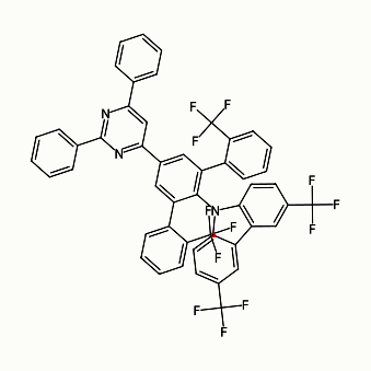 FC(F)(F)c1ccc2c(c1)c1cc(C(F)(F)F)ccc1n2-c1c(-c2ccccc2C(F)(F)F)cc(-c2cc(-c3ccccc3)nc(-c3ccccc3)n2)cc1-c1ccccc1C(F)(F)F